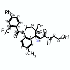 Cc1ccc2c(c1)/C(=C/C(=O)NCCO)C(F)(F)CCN2C(=O)c1cc[c]([Rb])cc1C(F)(F)F